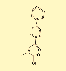 CC(=CC(=O)c1ccc(-c2ccccc2)cc1)C(=O)O